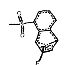 CS(=O)(=O)c1[c]ccc2c3ccc(c(F)c3)c12